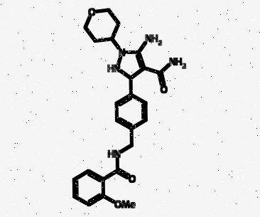 COc1ccccc1C(=O)NCc1ccc(C2NN(C3CCOCC3)C(N)=C2C(N)=O)cc1